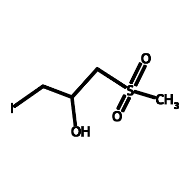 CS(=O)(=O)CC(O)CI